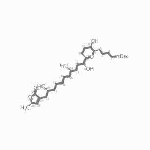 CCCCCCCCCCCCCC[C@H]1O[C@@H]([C@H](O)CC[C@H](O)CCCCC[C@@H](O)CC2=C[C@H](C)OC2=O)CC[C@H]1O